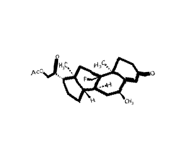 CC(=O)OCC(=O)[C@H]1CC[C@H]2[C@@H]3C[C@H](C)C4=CC(=O)CC[C@]4(C)[C@@]3(F)CC[C@]12C